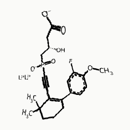 COc1ccc(C2=C(C#CP(=O)([O-])C[C@@H](O)CC(=O)[O-])C(C)(C)CCC2)cc1F.[Li+].[Li+]